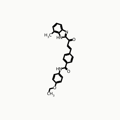 CCOc1ccc(NC(=O)c2ccc(C=CC(=O)c3nc4cccc(C)c4[nH]3)cc2)cc1